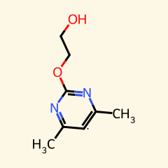 Cc1[c]c(C)nc(OCCO)n1